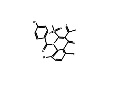 CC(=O)c1c(S(C)(=O)=O)n(C(=O)c2ccc(Br)cc2)c2c(Br)ccc(Cl)c2c1=O